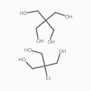 CCC(CO)(CO)CO.OCC(CO)(CO)CO